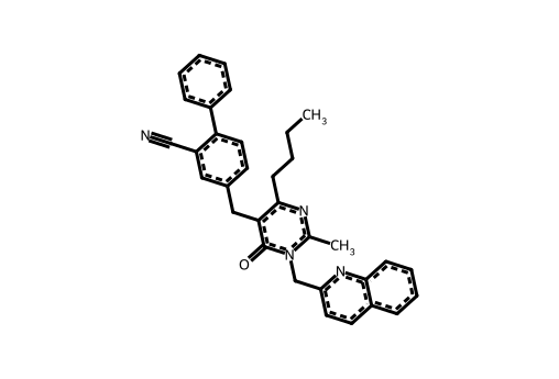 CCCCc1nc(C)n(Cc2ccc3ccccc3n2)c(=O)c1Cc1ccc(-c2ccccc2)c(C#N)c1